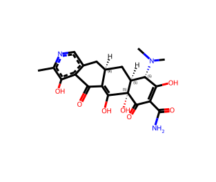 Cc1ncc2c(c1O)C(=O)C1=C(O)[C@]3(O)C(=O)C(C(N)=O)=C(O)[C@@H](N(C)C)[C@@H]3C[C@@H]1C2